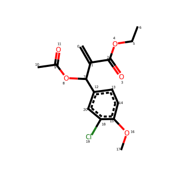 C=C(C(=O)OCC)C(OC(C)=O)c1ccc(OC)c(Cl)c1